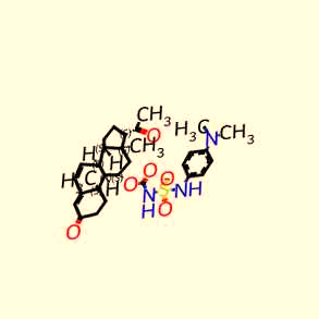 CC(=O)[C@H]1CC[C@H]2[C@@H]3C=CC4=CC(=O)CC[C@@]4(C)[C@@H]3[C@@H](OC(=O)NS(=O)(=O)Nc3ccc(N(C)C)cc3)C[C@]12C